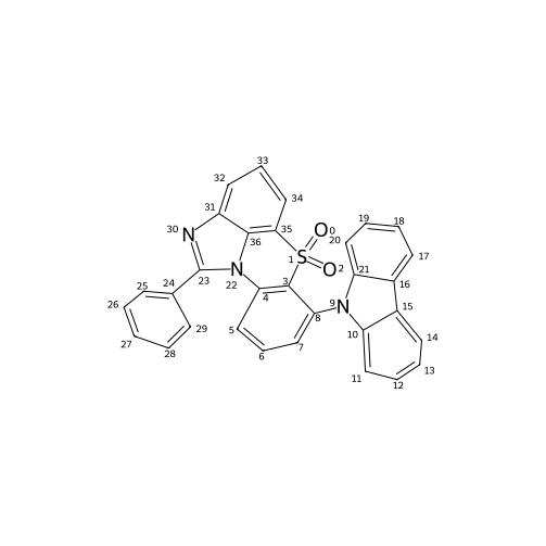 O=S1(=O)c2c(cccc2-n2c3ccccc3c3ccccc32)-n2c(-c3ccccc3)nc3cccc1c32